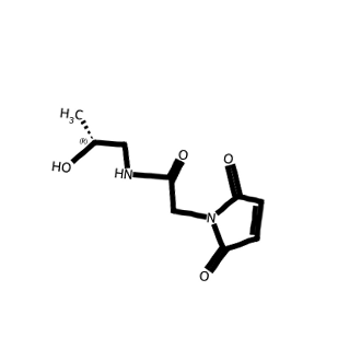 C[C@@H](O)CNC(=O)CN1C(=O)C=CC1=O